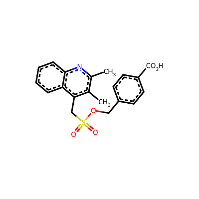 Cc1nc2ccccc2c(CS(=O)(=O)OCc2ccc(C(=O)O)cc2)c1C